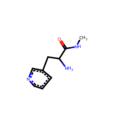 CNC(=O)C(N)Cc1cccnc1